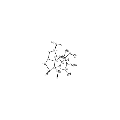 C=C(C)[C@@H]1CC2OC(=O)C34OC(OC=O)C1([C@H](C)O)C23CC(CO)OC(O)[C@H]4C